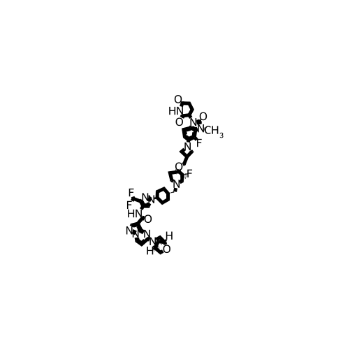 Cn1c(=O)n(C2CCC(=O)NC2=O)c2ccc(N3CC(CO[C@@H]4CCN(C[C@H]5CC[C@H](n6cc(NC(=O)c7cnn8ccc(N9C[C@H]%10C[C@@H]9CO%10)nc78)c(C(F)F)n6)CC5)C[C@H]4F)C3)c(F)c21